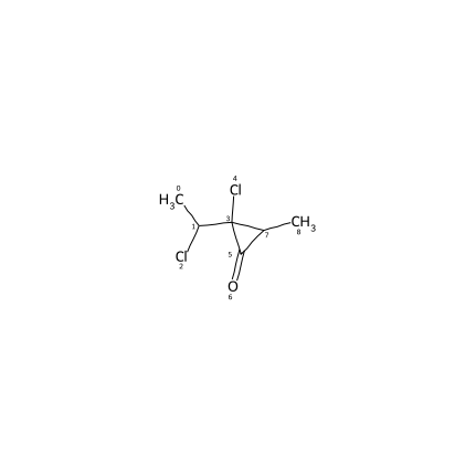 CC(Cl)C1(Cl)C(=O)C1C